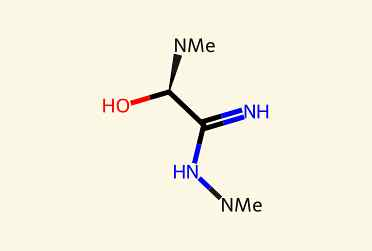 CNNC(=N)[C@@H](O)NC